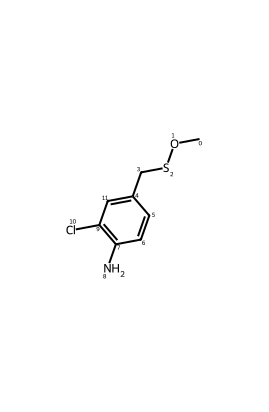 COSCc1ccc(N)c(Cl)c1